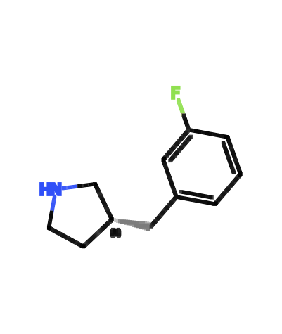 Fc1cccc(C[C@@H]2CCNC2)c1